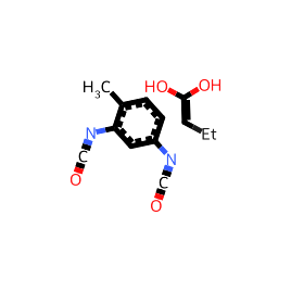 CCC=C(O)O.Cc1ccc(N=C=O)cc1N=C=O